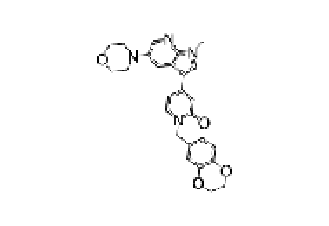 Cn1cc(-c2ccn(Cc3ccc4c(c3)OCCO4)c(=O)c2)c2cc(N3CCOCC3)cnc21